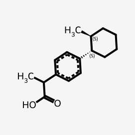 CC(C(=O)O)c1ccc([C@H]2CCCC[C@@H]2C)cc1